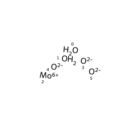 O.O.[Mo+6].[O-2].[O-2].[O-2]